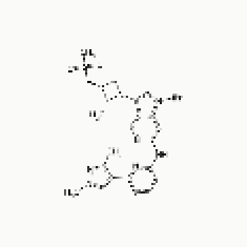 Cc1nn(C)cc1-c1nccc(Nc2cc3c(cn2)c(N2C[C@H](CS(C)(=O)=O)[C@H]2C)cn3C(C)C)n1